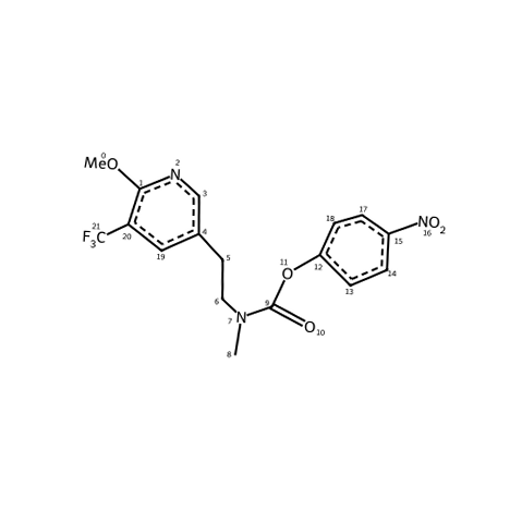 COc1ncc(CCN(C)C(=O)Oc2ccc([N+](=O)[O-])cc2)cc1C(F)(F)F